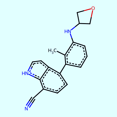 Cc1c(NC2COC2)cccc1-c1ccc(C#N)c2[nH]ccc12